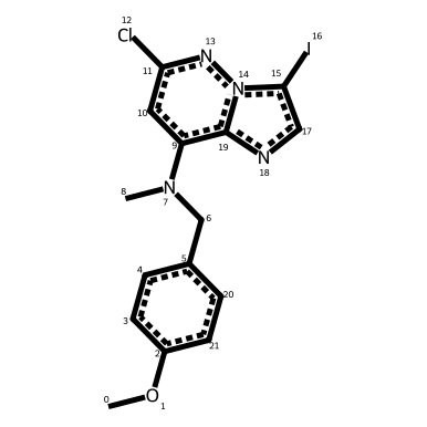 COc1ccc(CN(C)c2cc(Cl)nn3c(I)cnc23)cc1